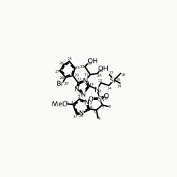 COc1cnc(C(C)C(C)S(=O)(=O)N(CC[Si](C)(C)C)c2nnc(-c3ccccc3Br)n2C(CO)CO)nc1